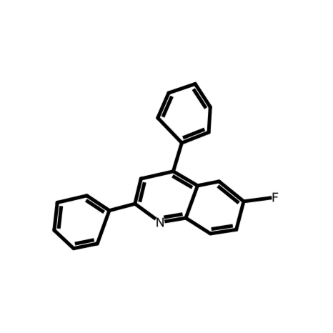 Fc1ccc2nc(-c3ccccc3)cc(-c3ccccc3)c2c1